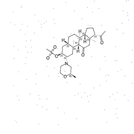 CC(=O)[C@H]1CC[C@H]2[C@@H]3CC[C@H]4C[C@H](OS(C)(=O)=O)[C@@H](N5CCO[C@H](C)C5)C[C@]4(C)[C@H]3C(=O)C[C@]12C